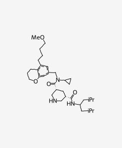 COCCCCc1cc(CN(C(=O)[C@H]2CNC[C@@H](C(=O)NC(CC(C)C)CC(C)C)C2)C2CC2)cc2c1CCCO2